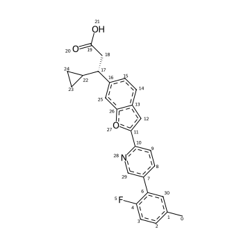 Cc1ccc(F)c(-c2ccc(-c3cc4ccc([C@@H](CC(=O)O)C5CC5)cc4o3)nc2)c1